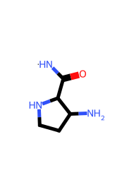 [NH]C(=O)C1NCCC1N